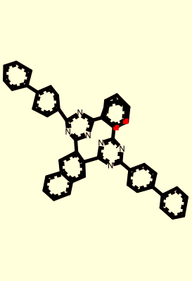 c1ccc(-c2ccc(-c3nc(-c4ccccc4)nc(-c4cc5ccccc5cc4-c4nc(-c5ccccc5)nc(-c5ccc(-c6ccccc6)cc5)n4)n3)cc2)cc1